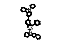 c1ccc(-c2nc(-n3c4ccccc4c4cc5ccccc5cc43)nc3ccc(-c4ccc5c(c4)c4ccccc4n5-c4ccccc4)cc23)cc1